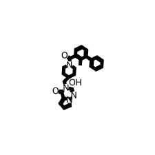 Cc1c(C(=O)N2CCC(O)(Cn3cnn4cccc4c3=O)CC2)cccc1-c1ccccc1